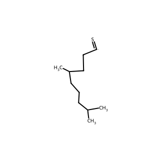 CC(C)CCCC(C)CC[C]=S